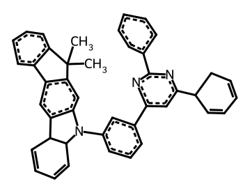 CC1(C)c2ccccc2-c2cc3c(cc21)N(c1cccc(-c2cc(C4C=CC=CC4)nc(-c4ccccc4)n2)c1)C1C=CC=CC31